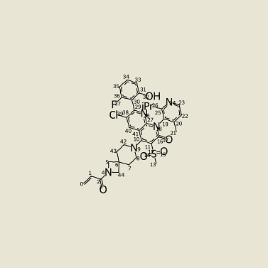 C=CC(=O)N1CC2(CCN(c3c(S(C)(=O)=O)c(=O)n(-c4c(C)ccnc4C(C)C)c4nc(-c5c(O)cccc5F)c(Cl)cc34)CC2)C1